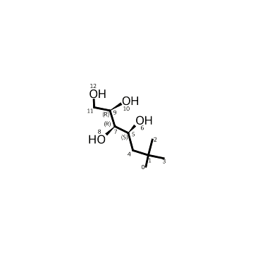 CC(C)(C)C[C@H](O)[C@@H](O)[C@H](O)CO